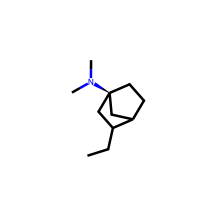 CCC1C[C@]2(N(C)C)CCC1C2